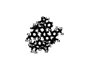 CC(C)[Si](c1cccc(N(c2cc(C(C)(C)C)cc(C(C)(C)C)c2)c2c3ccc(C(C)(C)C)cc3c(N(c3cc(C(C)(C)C)cc(C(C)(C)C)c3)c3cc([Si](C(C)C)(C(C)C)C(C)C)cc([Si](C(C)C)(C(C)C)C(C)C)c3)c3ccc(C(C)(C)C)cc23)c1)(C(C)C)C(C)C